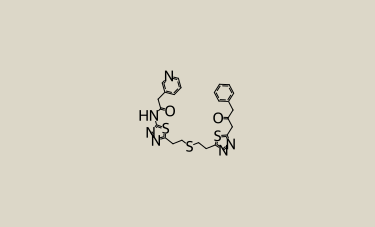 O=C(Cc1ccccc1)Cc1nnc(CCSCCc2nnc(NC(=O)Cc3cccnc3)s2)s1